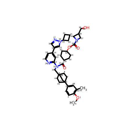 COc1ccc(C23CCC(CN(c4cc(-c5cnn(C6CCC6)c5)ccn4)C(=O)[C@H]4CC[C@H](OC(=O)N5CC(CO)C5)CC4)(CC2)CC3)cc1C